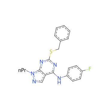 CCCn1ncc2c(Nc3ccc(F)cc3)nc(SCc3ccccc3)nc21